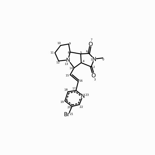 CN1C(=O)C2C(C1=O)C1CCCCN1C2/C=C/c1ccc(Br)cn1